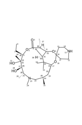 CC[C@H]1OC(=O)[C@H](C)[C@H]2OC3(CCNCC3)O[C@@](C)(C[C@@H](C)CN(C)[C@H](C)[C@@H](O)[C@]1(C)O)C(C)(C)[C@H]2C